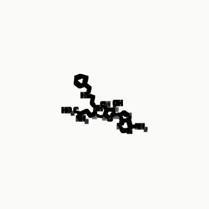 Nc1ncnc2c1ncn2[C@@H]1O[C@H](C[C@H](CC[C@H](N)C(=O)O)NCCNCc2ccccc2)C(O)[C@@H]1O